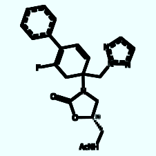 CC(=O)NC[C@H]1CN(C2(Cn3nccn3)C=CC(c3ccccc3)=C(F)C2)C(=O)O1